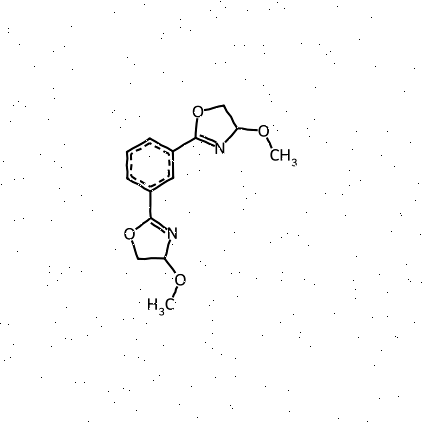 COC1COC(c2cccc(C3=NC(OC)CO3)c2)=N1